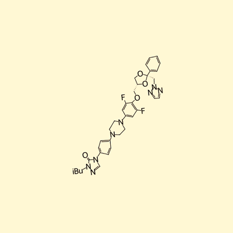 CCC(C)n1ncn(-c2ccc(N3CCN(c4cc(F)c(OC[C@@H]5CO[C@@](Cn6nccn6)(c6ccccc6)O5)c(F)c4)CC3)cc2)c1=O